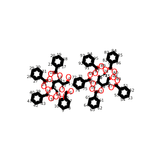 O=C[C@H](OC(=O)c1ccccc1)[C@@H](OC(=O)c1ccccc1)[C@H](OC(=O)c1ccccc1)[C@@H](CO)OC(=O)c1ccccc1.O=C[C@H](OC(=O)c1ccccc1)[C@@H](OC(=O)c1ccccc1)[C@H](OC(=O)c1ccccc1)[C@@H](COC(=O)c1ccccc1)OC(=O)c1ccccc1